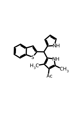 CC(=O)c1c(C)[nH]c(C(c2ccc[nH]2)c2cc3ccccc3s2)c1C